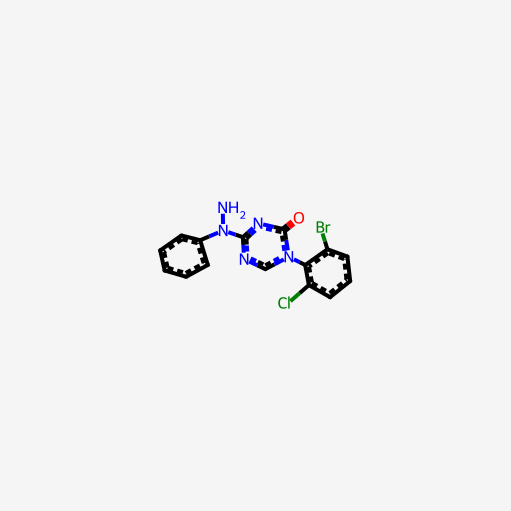 NN(c1ccccc1)c1ncn(-c2c(Cl)cccc2Br)c(=O)n1